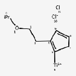 CC(C)OCCC1=[C]([Ti+2])CC=C1.[Cl-].[Cl-]